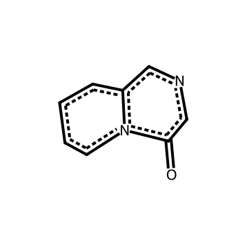 O=c1cncc2ccccn12